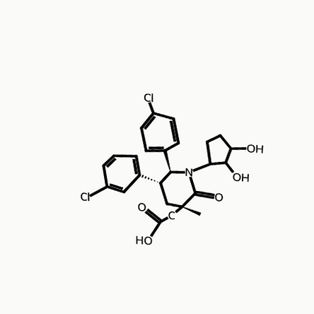 C[C@@]1(CC(=O)O)C[C@H](c2cccc(Cl)c2)[C@@H](c2ccc(Cl)cc2)N(C2CCC(O)C2O)C1=O